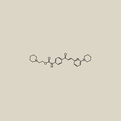 O=C(Nc1ccc(C(=O)C=Cc2cccc(N3CCCCC3)n2)cc1)OCCN1CCCCC1